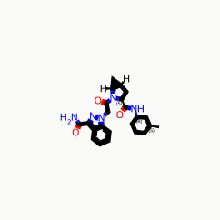 C[C@H]1CCC[C@@H](NC(=O)[C@@H]2C[C@H]3C[C@H]3N2C(=O)Cn2nc(C(N)=O)c3ccccc32)C1